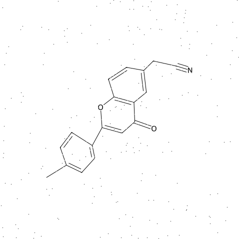 Cc1ccc(-c2cc(=O)c3cc(CC#N)ccc3o2)cc1